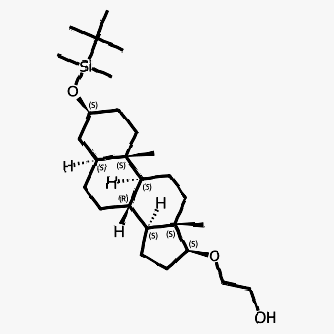 CC(C)(C)[Si](C)(C)O[C@H]1CC[C@@]2(C)[C@@H](CC[C@@H]3[C@@H]2CC[C@]2(C)[C@@H](OCCO)CC[C@@H]32)C1